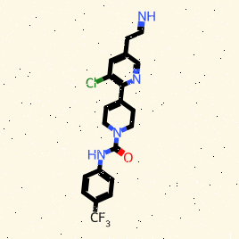 N=CCc1cnc(C2=CCN(C(=O)Nc3ccc(C(F)(F)F)cc3)CC2)c(Cl)c1